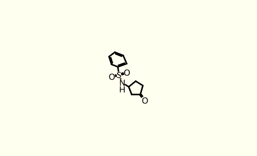 O=C1CCC(NS(=O)(=O)c2ccccc2)C1